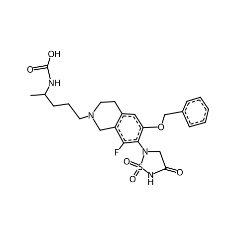 CC(CCCN1CCc2cc(OCc3ccccc3)c(N3CC(=O)NS3(=O)=O)c(F)c2C1)NC(=O)O